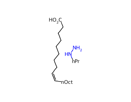 CCCCCCCC/C=C\CCCCCCCC(=O)O.CCCNN